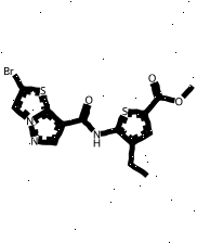 CCc1cc(C(=O)OC)sc1NC(=O)c1cnn2cc(Br)sc12